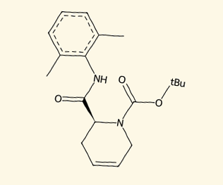 Cc1cccc(C)c1NC(=O)[C@@H]1CC=CCN1C(=O)OC(C)(C)C